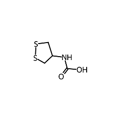 O=C(O)NC1CSSC1